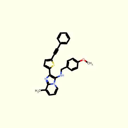 COc1ccc(CNc2c(-c3ccc(C#Cc4ccccc4)s3)nc3c(C)cccn23)cc1